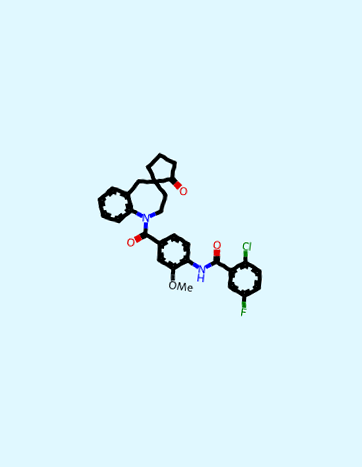 COc1cc(C(=O)N2CCC3(CCCC3=O)Cc3ccccc32)ccc1NC(=O)c1cc(F)ccc1Cl